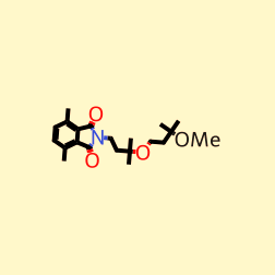 COC(C)(C)CCOC(C)(C)CCN1C(=O)c2c(C)ccc(C)c2C1=O